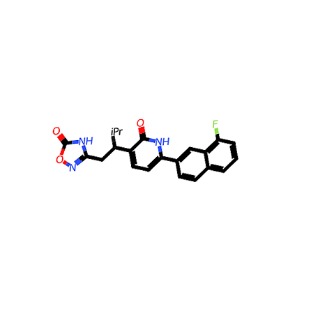 CC(C)C(Cc1noc(=O)[nH]1)c1ccc(-c2ccc3cccc(F)c3c2)[nH]c1=O